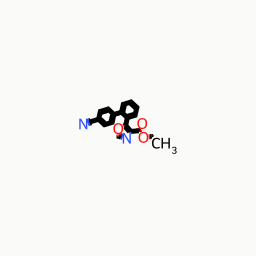 CCOC(=O)c1ncoc1-c1ccccc1-c1ccc(C#N)cc1